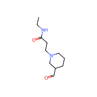 CCNC(=O)CCN1CCCC(C=O)C1